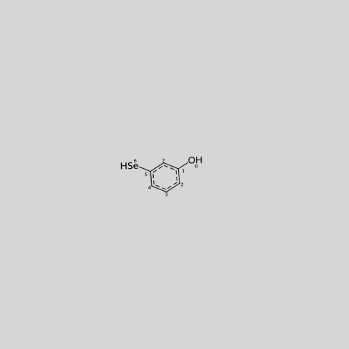 Oc1cccc([SeH])c1